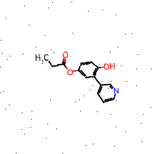 CCC(=O)Oc1ccc(O)c(-c2cccnc2)c1